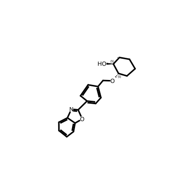 O[C@H]1[CH]CCC[C@@H]1OCc1ccc(-c2nc3ccccc3o2)cc1